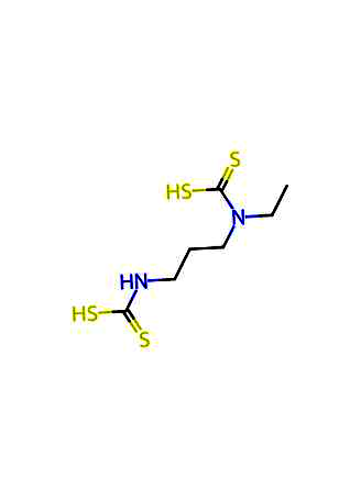 CCN(CCCNC(=S)S)C(=S)S